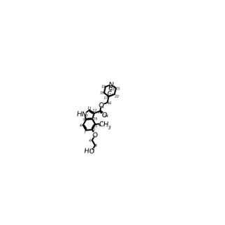 Cc1c(OCCO)ccc2[nH]cc(C(=O)OCC34CCN(CC3)CC4)c12